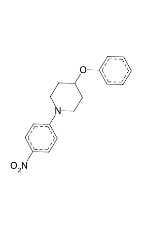 O=[N+]([O-])c1ccc(N2CCC(Oc3ccccc3)CC2)cc1